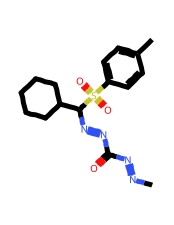 CN=NC(=O)N=NC(C1CCCCC1)S(=O)(=O)c1ccc(C)cc1